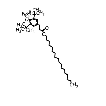 CCCCCCCCCCCCCCCCCCOC(=O)CCc1cc(C(C)(C)C)c(OP(F)F)c(C(C)(C)C)c1